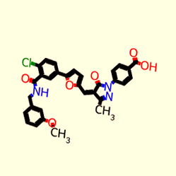 COc1cccc(CNC(=O)c2cc(-c3ccc(/C=C4\C(=O)N(c5ccc(C(=O)O)cc5)N=C4C)o3)ccc2Cl)c1